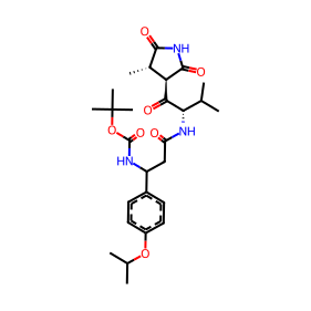 CC(C)Oc1ccc(C(CC(=O)N[C@H](C(=O)[C@@H]2C(=O)NC(=O)[C@H]2C)C(C)C)NC(=O)OC(C)(C)C)cc1